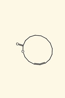 O=C1CCCCCCCCCC=C=CCCO1